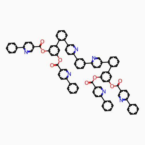 O=C(Oc1cc(OC(=O)c2ccc(-c3ccccc3)nc2)cc(-c2ccccc2-c2ccc(-c3cccc(-c4ccc(-c5ccccc5-c5cc(OC(=O)c6ccc(-c7ccccc7)nc6)cc(OC(=O)c6ccc(-c7ccccc7)nc6)c5)cn4)c3)nc2)c1)c1ccc(-c2ccccc2)nc1